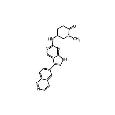 CN1C[C@@H](Nc2ncc3c(-c4ccc5nnccc5c4)c[nH]c3n2)CCC1=O